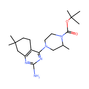 CC1CN(c2nc(N)nc3c2CCC(C)(C)C3)CCN1C(=O)OC(C)(C)C